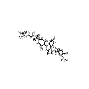 COCc1cc(C(C)(C)c2cnc(SCc3c(F)cc(S(=O)(=O)NCCO[Si](C)(C)O)cc3Cl)n2-c2ccc(F)cc2)ccc1Cl